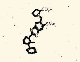 CSc1cc2oc(-c3cccc(-c4ccccc4)c3C)nc2cc1CN1CCCC1C(=O)O